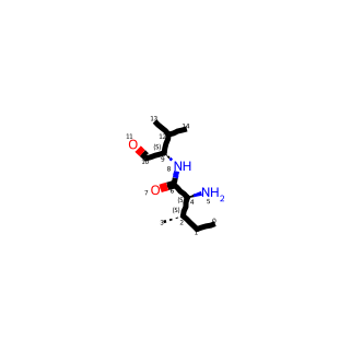 CC[C@H](C)[C@H](N)C(=O)N[C@H]([C]=O)C(C)C